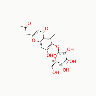 CC(=O)Cc1cc(=O)c2c(C)c(O[C@@H]3O[C@H](CO)[C@@H](O)[C@H](O)[C@H]3O)c(O)cc2o1